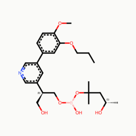 CCCOc1cc(-c2cncc([C@H](CO)COB(O)OC(C)(C)C[C@H](C)O)c2)ccc1OC